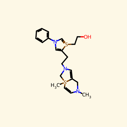 CN1C=CS2(C)CN(CCC3=CN(c4ccccc4)C=S3CCO)C=C2C1